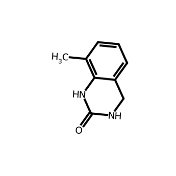 Cc1cccc2c1NC(=O)NC2